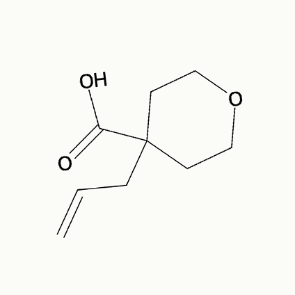 C=CCC1(C(=O)O)CCOCC1